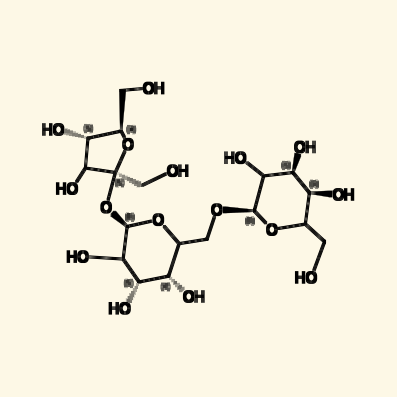 OCC1O[C@@H](OCC2O[C@H](O[C@]3(CO)O[C@H](CO)[C@@H](O)C3O)C(O)[C@@H](O)[C@H]2O)C(O)[C@@H](O)[C@H]1O